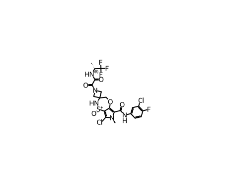 C[C@@H](NC(=O)C(=O)N1CC2(COc3c(c(Cl)n(C)c3C(=O)Nc3ccc(F)c(Cl)c3)[S+]([O-])N2)C1)C(F)(F)F